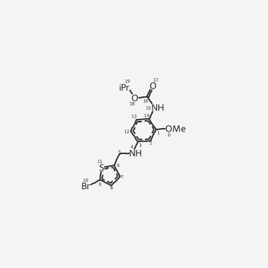 COc1cc(NCc2ccc(Br)s2)ccc1NC(=O)OC(C)C